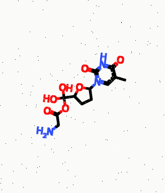 Cc1cn(C2CCC(C(O)(O)OC(=O)CN)O2)c(=O)[nH]c1=O